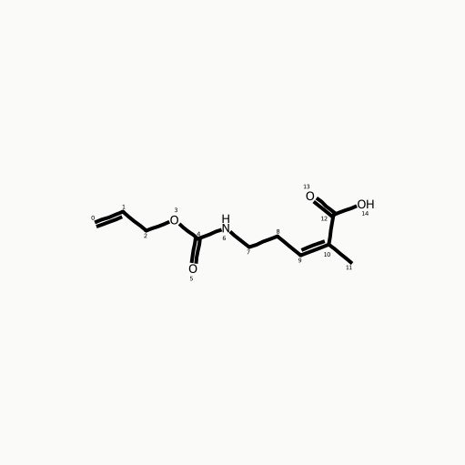 C=CCOC(=O)NCCC=C(C)C(=O)O